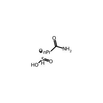 CCCC(N)=O.O=[SH](=O)O